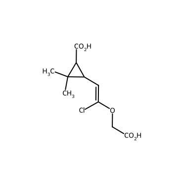 CC1(C)C(C=C(Cl)OCC(=O)O)C1C(=O)O